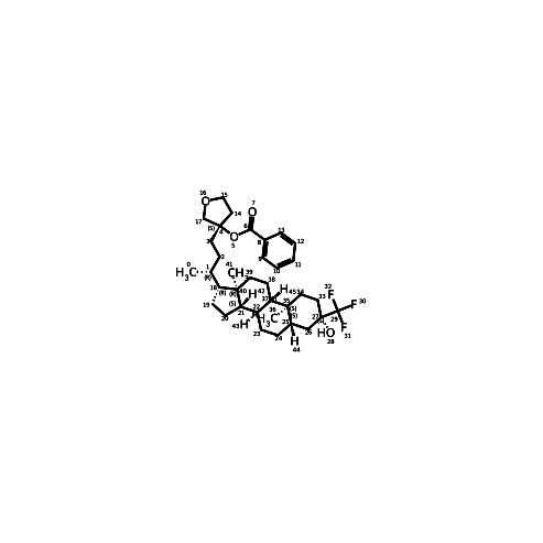 C[C@H](CC[C@]1(OC(=O)c2ccccc2)CCOC1)[C@H]1CC[C@H]2[C@@H]3CC[C@H]4C[C@](O)(C(F)(F)F)CC[C@]4(C)[C@H]3CC[C@]12C